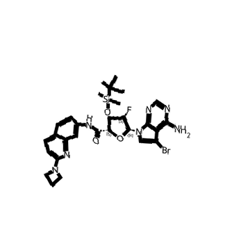 CC(C)(C)[Si](C)(C)OC1[C@@H](C(=O)Nc2ccc3ccc(N4CCC4)nc3c2)O[C@@H](n2cc(Br)c3c(N)ncnc32)[C@H]1F